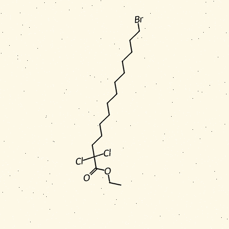 CCOC(=O)C(Cl)(Cl)CCCCCCCCCCCCBr